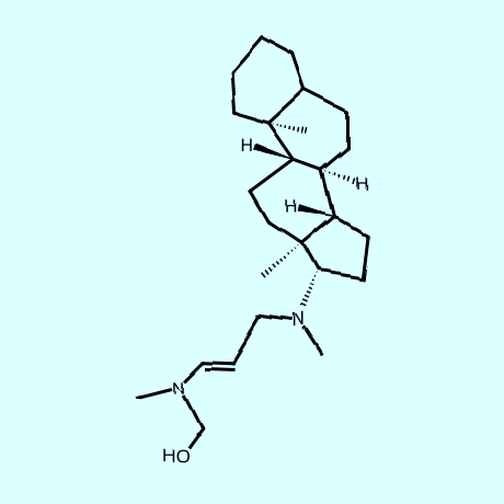 CN(C=CCN(C)[C@H]1CC[C@H]2[C@@H]3CCC4CCCC[C@]4(C)[C@H]3CC[C@]12C)CO